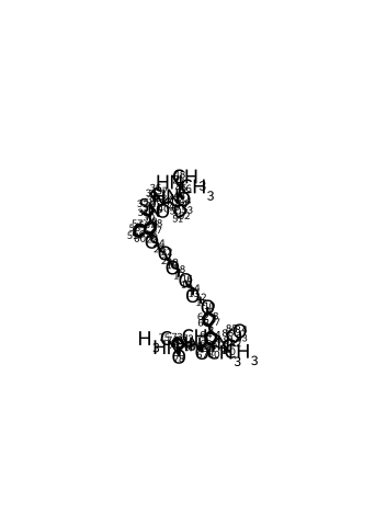 CCN(c1cc(-c2ccc(OCCOCCOCCOCCOCCOc3ccc(-c4csc([C@@H]5CCCN5C(=O)[C@@H](NC(=O)[C@H](C)NC)C5CCCCC5)n4)c4ccccc34)cc2)cc(C(=O)NCc2c(C)cc(C)[nH]c2=O)c1C)C1CCOCC1